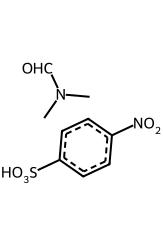 CN(C)C=O.O=[N+]([O-])c1ccc(S(=O)(=O)O)cc1